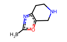 Bc1nc2c(o1)CNCC2